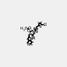 CC(=O)OC1CN(S(=O)(=O)CCc2ccc(Cl)s2)CC(=O)N1Cc1cc2cnccc2[nH]1